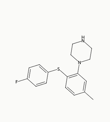 Cc1ccc(Sc2ccc(F)cc2)c(N2CCNCC2)c1